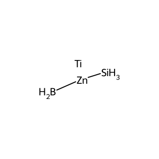 [BH2][Zn][SiH3].[Ti]